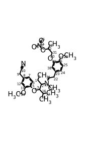 CCC(C(Oc1ccc(CC#N)cc1OC)C(C)C)N(C)CCc1ccc(OC)c(OCC(C)O[N+](=O)[O-])c1